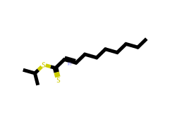 CCCCCCC/C=C/C(=S)SC(C)C